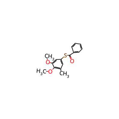 COc1cc(SC(=O)c2ccccc2)cc(C)c1OC